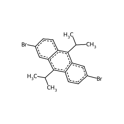 CC(C)c1c2ccc(Br)cc2c(C(C)C)c2ccc(Br)cc12